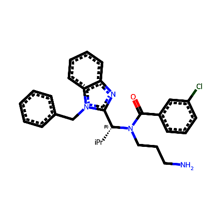 CC(C)[C@H](c1nc2ccccc2n1Cc1ccccc1)N(CCCN)C(=O)c1cccc(Cl)c1